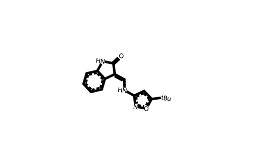 CC(C)(C)c1cc(N/C=C2/C(=O)Nc3ccccc32)no1